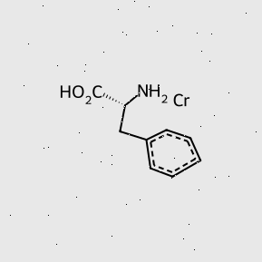 N[C@H](Cc1ccccc1)C(=O)O.[Cr]